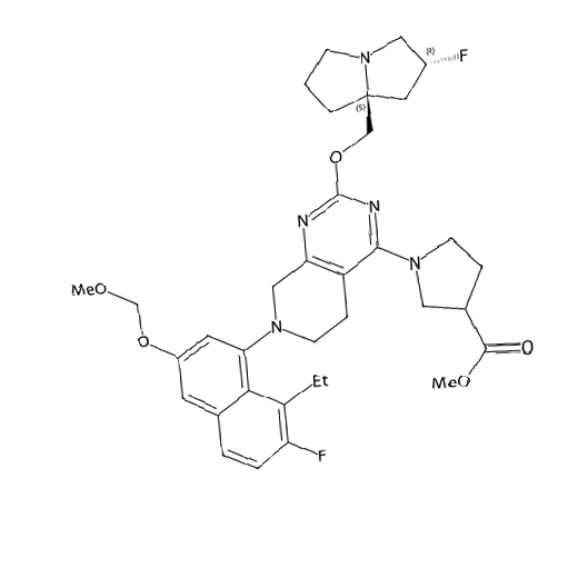 CCc1c(F)ccc2cc(OCOC)cc(N3CCc4c(nc(OC[C@@]56CCCN5C[C@H](F)C6)nc4N4CCC(C(=O)OC)C4)C3)c12